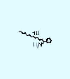 CCCCCCCCCCCCC(CN)c1ccccc1.Cl